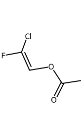 CC(=O)OC=C(F)Cl